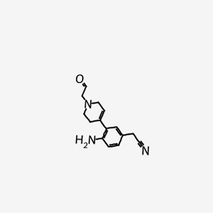 N#CCc1ccc(N)c(C2=CCN(CC=O)CC2)c1